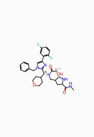 CNC(=O)C1CC(CN(C(=O)[C@H](C)O)[C@@H](c2nc(-c3cc(F)ccc3F)cn2Cc2ccccc2)C2CCOCC2)CN1